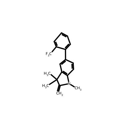 C=C1N(C)c2ccc(-c3ccccc3C(F)(F)F)cc2C1(C)C